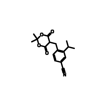 CC(C)c1cc(C#N)ccc1CC1C(=O)OC(C)(C)OC1=O